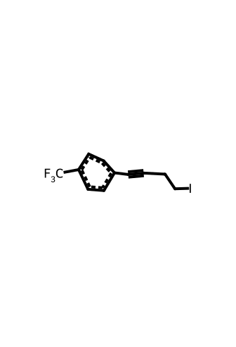 FC(F)(F)c1ccc(C#CCCI)cc1